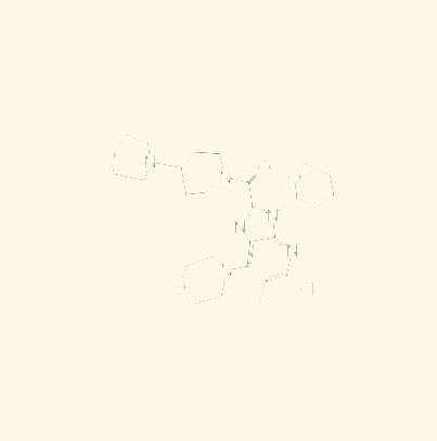 Cc1c(Cl)nc2c(nc(C(=O)N3CCC(N4CCOCC4)CC3)n2C2CCCCO2)c1N1CCOCC1